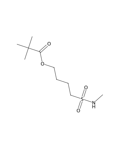 CNS(=O)(=O)CCCCOC(=O)C(C)(C)C